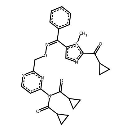 Cn1c(/C(=N\OCc2nccc(N(C(=O)C3CC3)C(=O)C3CC3)n2)c2ccccc2)cnc1C(=O)C1CC1